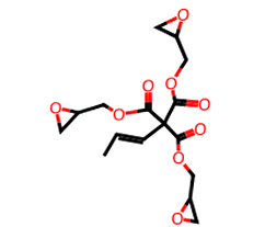 C/C=C/C(C(=O)OCC1CO1)(C(=O)OCC1CO1)C(=O)OCC1CO1